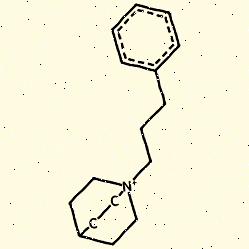 c1ccc(CCC[N+]23CCC(CC2)CC3)cc1